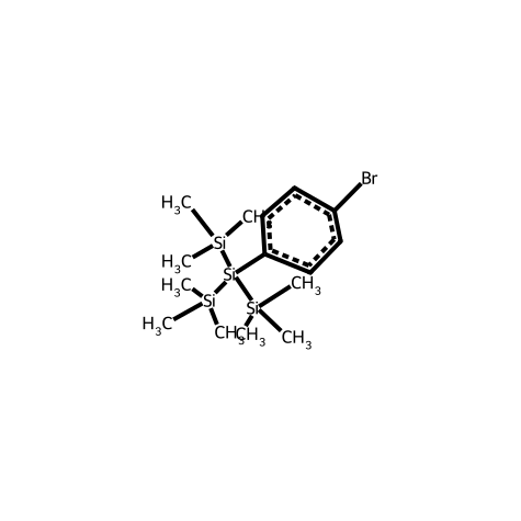 C[Si](C)(C)[Si](c1ccc(Br)cc1)([Si](C)(C)C)[Si](C)(C)C